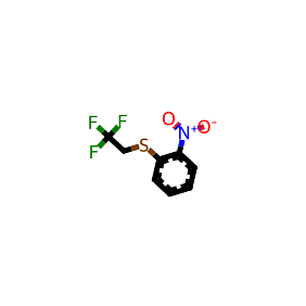 O=[N+]([O-])c1ccccc1SCC(F)(F)F